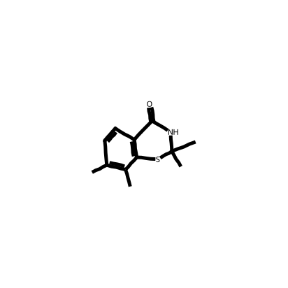 Cc1ccc2c(c1C)SC(C)(C)NC2=O